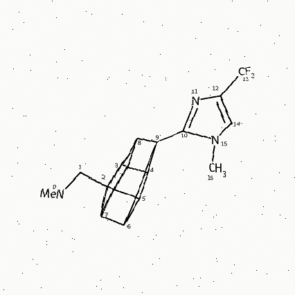 CNCC12C3C4C1C1C2C3C41c1nc(C(F)(F)F)cn1C